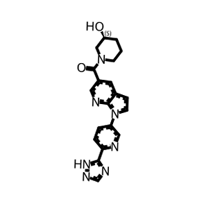 O=C(c1cnc2c(ccn2-c2ccc(-c3ncn[nH]3)nc2)c1)N1CCC[C@H](O)C1